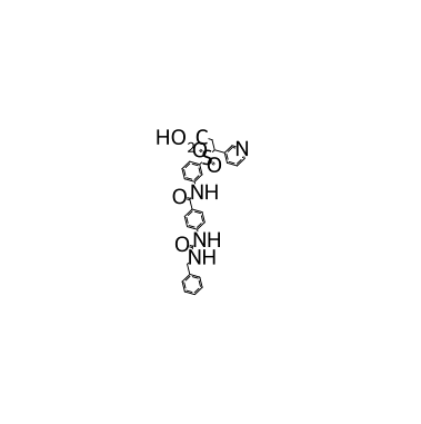 O=C(O)CC(c1cccnc1)S(=O)(=O)c1cccc(NC(=O)c2ccc(NC(=O)NCc3ccccc3)cc2)c1